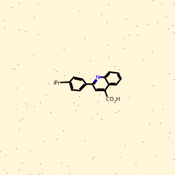 CC(C)c1ccc(-c2cc(C(=O)O)c3ccccc3n2)cc1